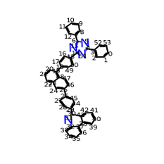 c1ccc(-c2nc(-c3ccccc3)nc(-c3ccc(-c4cccc5cc(-c6ccc(-c7nc8ccccc8c8ccccc78)cc6)ccc45)cc3)n2)cc1